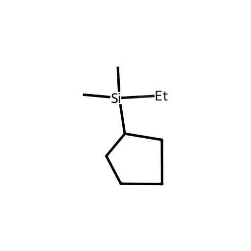 [CH2]C[Si](C)(C)C1CCCC1